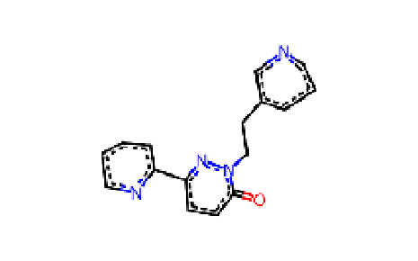 O=c1ccc(-c2ccccn2)nn1CCc1cccnc1